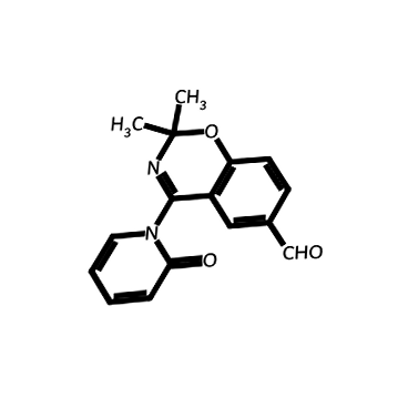 CC1(C)N=C(n2ccccc2=O)c2cc(C=O)ccc2O1